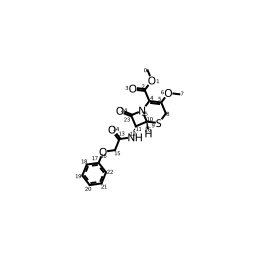 COC(=O)C1=C(OC)CS[C@@H]2[C@H](NC(=O)COc3ccccc3)C(=O)N12